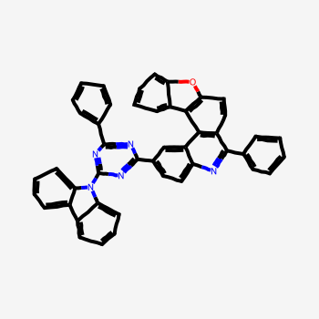 c1ccc(-c2nc(-c3ccc4nc(-c5ccccc5)c5ccc6oc7ccccc7c6c5c4c3)nc(-n3c4ccccc4c4ccccc43)n2)cc1